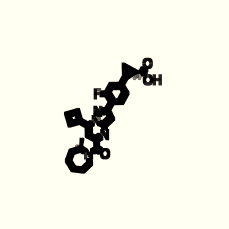 C[C@@H]1CCCCCN1C(=O)c1cc(C2CCC2)n2nc(-c3ccc(C4C[C@H]4C(=O)O)cc3F)cc2n1